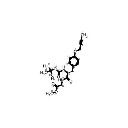 CC#CCOc1ccc(C[C@H](NC(=O)OC(C)(C)C)C(=O)NCC(=O)OC)cc1